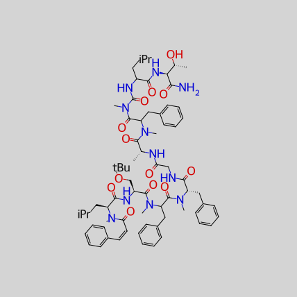 CC(C)CC(NC(=O)N(C)C(=O)C(Cc1ccccc1)N(C)C(=O)[C@@H](C)NC(=O)CNC(=O)[C@H](Cc1ccccc1)N(C)C(=O)C(Cc1ccccc1)N(C)C(=O)[C@H](COC(C)(C)C)NC(=O)[C@H](CC(C)C)N(C)C(=O)/C=C\c1ccccc1)C(=O)N[C@H](C(N)=O)[C@@H](C)O